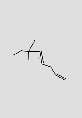 C=CC/C=C/C(C)(C)CC